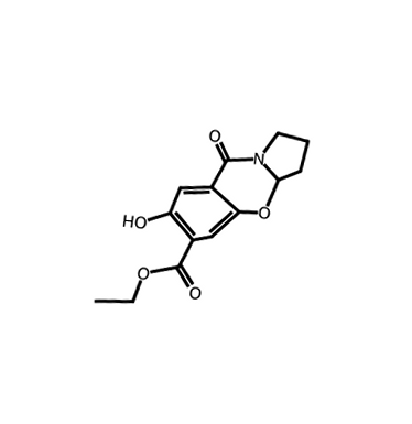 CCOC(=O)c1cc2c(cc1O)C(=O)N1CCCC1O2